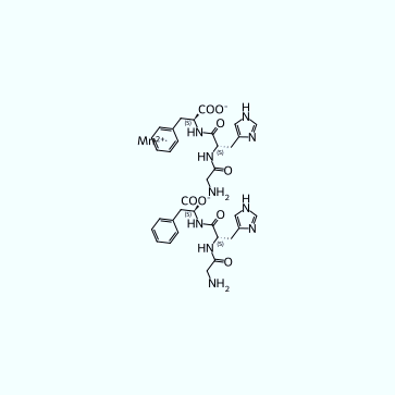 NCC(=O)N[C@@H](Cc1c[nH]cn1)C(=O)N[C@@H](Cc1ccccc1)C(=O)[O-].NCC(=O)N[C@@H](Cc1c[nH]cn1)C(=O)N[C@@H](Cc1ccccc1)C(=O)[O-].[Mn+2]